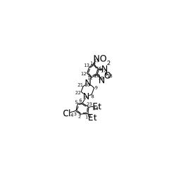 CCc1cc(Cl)cc(N2CCN(c3ccc([N+](=O)[O-])c4nonc34)CC2)c1CC